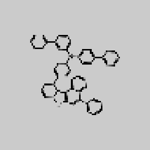 C1=CC2Oc3cc(-c4ccccc4)c4ccccc4c3C2C(c2ccc(N(c3ccc(-c4ccccc4)cc3)c3cccc(-c4ccccc4)c3)cc2)=C1